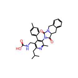 Cc1ccc(-c2c(CNC(=O)O)c(CC(C)C)nc(C)c2N2C(=O)C3Cc4ccccc4CN3C2=O)cc1